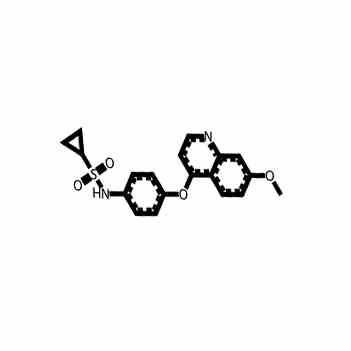 COc1ccc2c(Oc3ccc(NS(=O)(=O)C4CC4)cc3)ccnc2c1